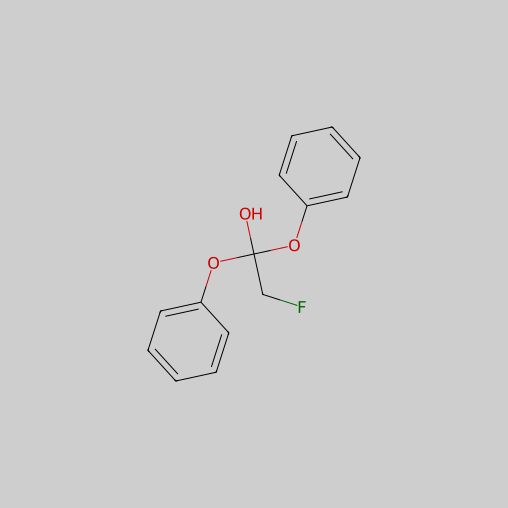 OC(CF)(Oc1ccccc1)Oc1ccccc1